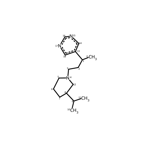 CC(CCN1CCCC(C(C)C)C1)c1cncnc1